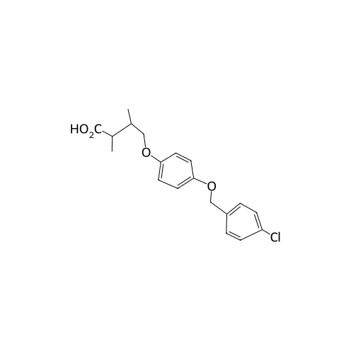 CC(COc1ccc(OCc2ccc(Cl)cc2)cc1)C(C)C(=O)O